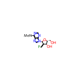 CNc1ncnc2c1ncn2[C@@H]1O[C@H](CO)[C@@H](O)/C1=C/F